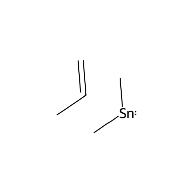 C=CC.[CH3][Sn][CH3]